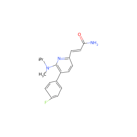 CC(C)N(C)c1nc(/C=C/C(N)=O)ccc1-c1ccc(F)cc1